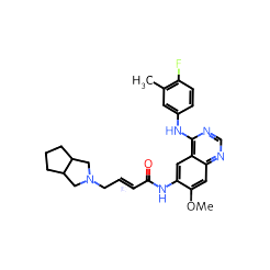 COc1cc2ncnc(Nc3ccc(F)c(C)c3)c2cc1NC(=O)/C=C/CN1CC2CCCC2C1